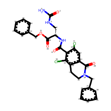 NC(=O)NC[C@H](NC(=O)c1c(Cl)cc2c(c1Cl)CCN(Cc1ccccc1)C2=O)C(=O)OCc1ccccc1